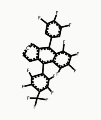 Fc1cc(-c2c3ccccc3c(-c3c(F)c(F)c(C(F)(F)F)c(F)c3F)c3c(F)c(F)c(F)c(F)c23)cc(F)c1F